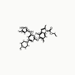 CCOC(=O)n1c(C)cc2c(F)c(Oc3nc(Nc4cc(C)[nH]n4)cc(N4CCN(C)CC4)n3)c(F)cc21